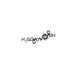 CCOC(=O)COCCN1CCN(C(=O)O)CC1